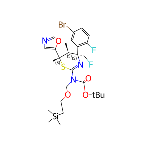 C[C@H]1[C@@](CF)(c2cc(Br)ccc2F)N=C(N(COCC[Si](C)(C)C)C(=O)OC(C)(C)C)S[C@]1(C)c1cnco1